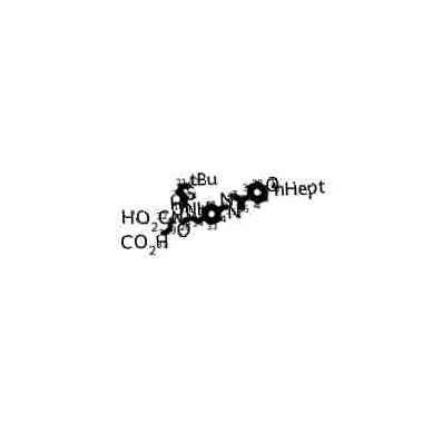 CCCCCCCOc1ccc(-c2cnc(-c3ccc(CC(NC(=O)c4ccc(C(C)(C)C)s4)C(=O)NC(CCC(=O)O)C(=O)O)cc3)nc2)cc1